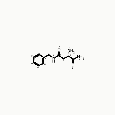 NC(=O)[C@@H](N)CC(=O)NCc1ccccc1